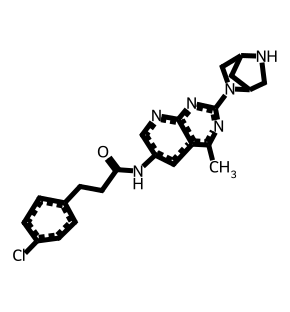 Cc1nc(N2CC3CC2CN3)nc2ncc(NC(=O)CCc3ccc(Cl)cc3)cc12